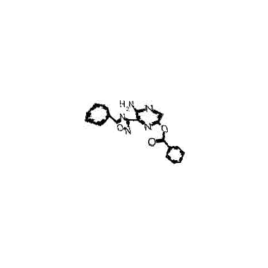 Nc1ncc(OC(=O)c2ccccc2)nc1-c1noc(-c2ccccc2)n1